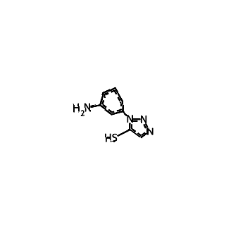 Nc1cccc(-n2nncc2S)c1